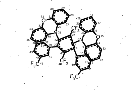 FC(F)(F)c1cccc(-c2c(N3c4ccccc4Oc4ccccc43)c(C(F)(F)F)c(N3c4ccccc4Oc4ccccc43)c(-c3cccc(C(F)(F)F)c3)c2C(F)(F)F)c1